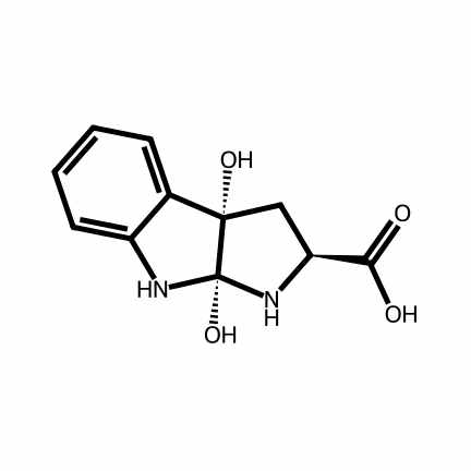 O=C(O)[C@@H]1C[C@]2(O)c3ccccc3N[C@]2(O)N1